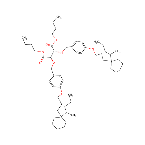 CCCCOC(=O)[C@H](OCc1ccc(OCCCC2(C(C)CCC)CCCCC2)cc1)[C@@H](OCc1ccc(OCCCC2(C(C)CCC)CCCCC2)cc1)C(=O)OCCCC